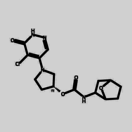 O=C(NC1CC2CCC1O2)O[C@@H]1CCN(c2cn[nH]c(=O)c2Cl)C1